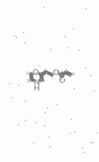 C=CC(=O)OCCC1CNCCO1